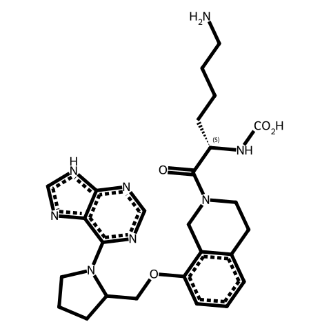 NCCCC[C@H](NC(=O)O)C(=O)N1CCc2cccc(OCC3CCCN3c3ncnc4[nH]cnc34)c2C1